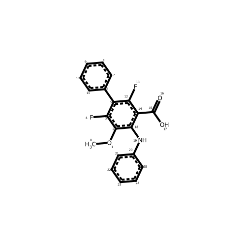 COc1c(F)c(-c2ccccc2)c(F)c(C(=O)O)c1Nc1ccccc1